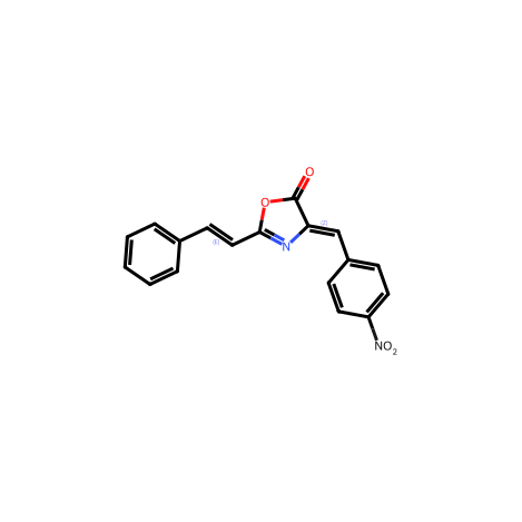 O=C1OC(/C=C/c2ccccc2)=NC/1=C\c1ccc([N+](=O)[O-])cc1